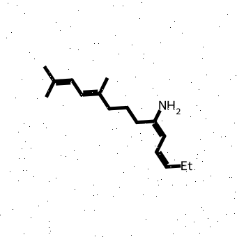 CC/C=C\C=C(\N)CCC/C(C)=C/C=C(C)C